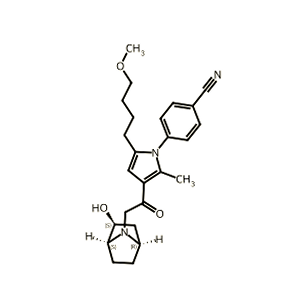 COCCCCc1cc(C(=O)CN2[C@@H]3CC[C@H]2[C@@H](O)C3)c(C)n1-c1ccc(C#N)cc1